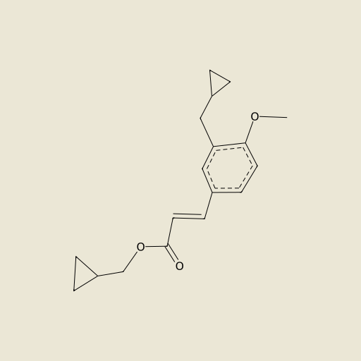 COc1ccc(C=CC(=O)OCC2CC2)cc1CC1CC1